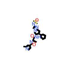 Cc1cc(-c2nc(C(=O)Nc3cn4cc(N=S(C)(C)=O)nc4cc3-c3ccccc3)co2)ccn1